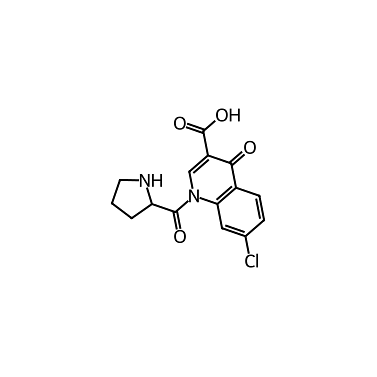 O=C(O)c1cn(C(=O)C2CCCN2)c2cc(Cl)ccc2c1=O